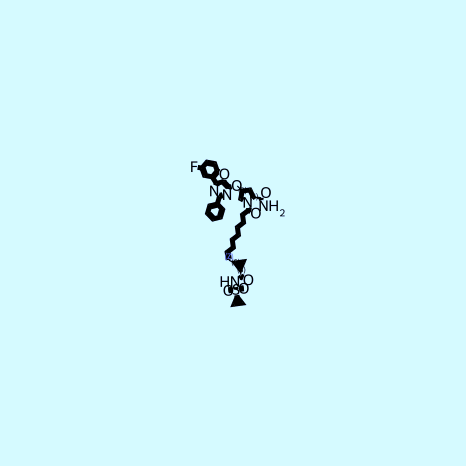 NC(=O)[C@@H]1C[C@@H](Oc2nc(-c3ccccc3)nc3c2oc2ccc(F)cc23)CN1C(=O)CCCCCC/C=C\[C@@H]1C[C@@H]1C(=O)NS(=O)(=O)C1CC1